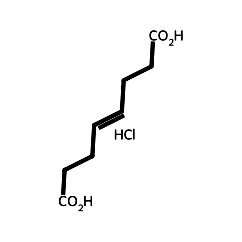 Cl.O=C(O)CCC=CCCC(=O)O